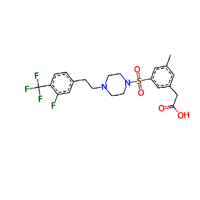 Cc1cc(CC(=O)O)cc(S(=O)(=O)N2CCN(CCc3ccc(C(F)(F)F)c(F)c3)CC2)c1